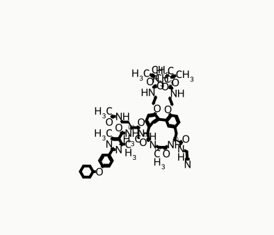 CC(=O)NCC[C@H](NC(=O)c1c(C)nc(-c2ccc(OC3CCCCC3)cc2)nc1C)C(=O)N(C)[C@@H]1C(=O)N[C@@H](C)C(=O)N[C@H](C(=O)NCC#N)Cc2ccc(OCCNC(=O)OC(C)(C)C)c(c2)-c2cc1ccc2OCCNC(=O)OC(C)(C)C